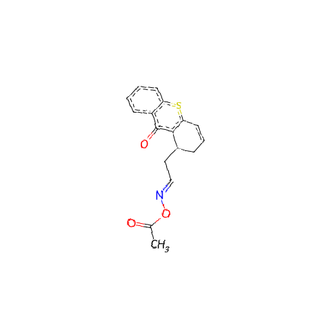 CC(=O)ON=CCC1CC=Cc2sc3ccccc3c(=O)c21